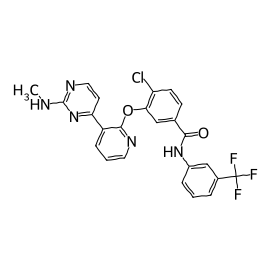 CNc1nccc(-c2cccnc2Oc2cc(C(=O)Nc3cccc(C(F)(F)F)c3)ccc2Cl)n1